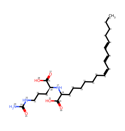 CCCC/C=C/C=C/C=C\CCCCCCC(N[C@@H](CCCNC(N)=O)C(=O)O)C(=O)O